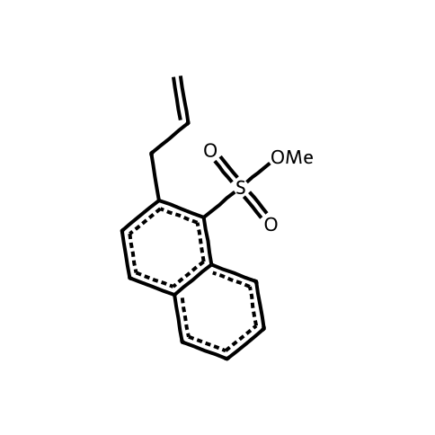 C=CCc1ccc2ccccc2c1S(=O)(=O)OC